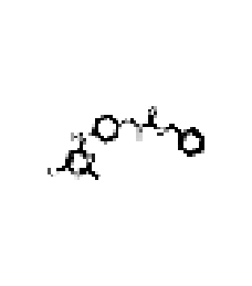 Cc1nc(Cl)cc(N[C@H]2CC[C@@H](CNC(=O)OCc3ccccc3)CC2)n1